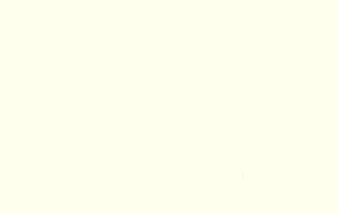 CCOC(=O)C(=Cc1ccccc1Cl)C(=O)OCC